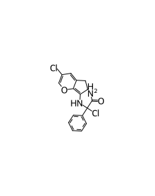 NC(=O)C(Cl)(NC1=C2OC=C(Cl)C=C2CC1)c1ccccc1